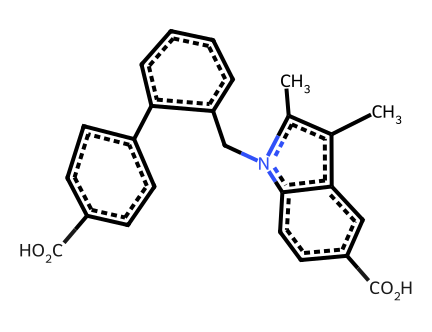 Cc1c(C)n(Cc2ccccc2-c2ccc(C(=O)O)cc2)c2ccc(C(=O)O)cc12